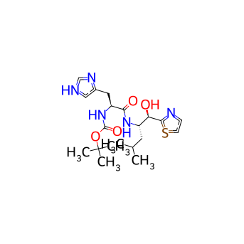 CC(C)C[C@H](NC(=O)[C@H](Cc1c[nH]cn1)NC(=O)OC(C)(C)C)[C@@H](O)c1nccs1